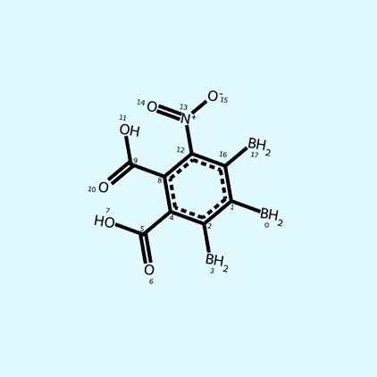 Bc1c(B)c(C(=O)O)c(C(=O)O)c([N+](=O)[O-])c1B